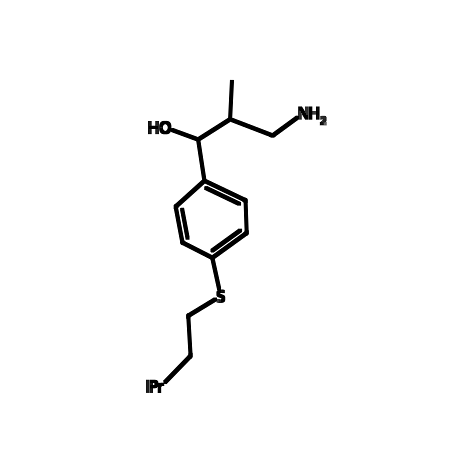 CC(C)CCSc1ccc(C(O)C(C)CN)cc1